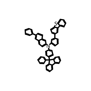 c1ccc(-c2ccc3cc(N(c4ccc(C5(c6ccccc6)c6ccccc6-c6ccccc65)cc4)c4cccc(-c5ccc6sc7ccccc7c6c5)c4)ccc3c2)cc1